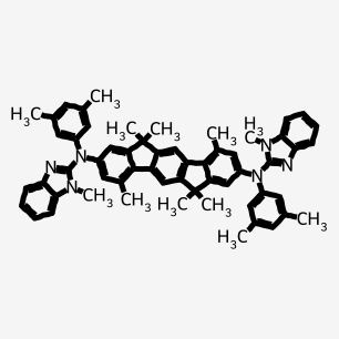 Cc1cc(C)cc(N(c2cc(C)c3c(c2)C(C)(C)c2cc4c(cc2-3)C(C)(C)c2cc(N(c3cc(C)cc(C)c3)c3nc5ccccc5n3C)cc(C)c2-4)c2nc3ccccc3n2C)c1